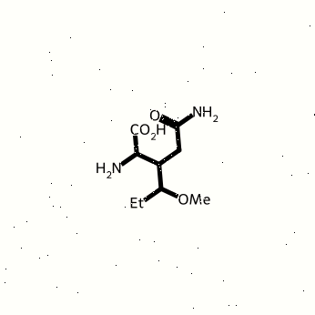 CCC(OC)C(CC(N)=O)C(N)C(=O)O